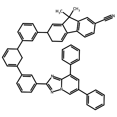 CC1(C)C2=CC(c3cccc(C4C=CC=C(c5cccc(-c6nc7c(-c8ccccc8)cc(-c8ccccc8)cn7n6)c5)C4)c3)CC=C2c2ccc(C#N)cc21